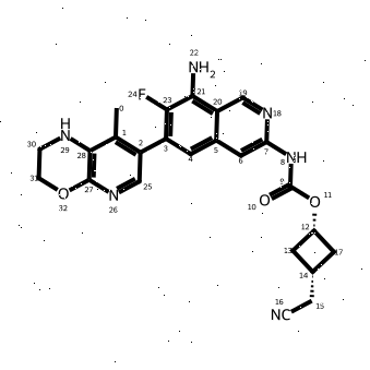 Cc1c(-c2cc3cc(NC(=O)O[C@H]4C[C@@H](CC#N)C4)ncc3c(N)c2F)cnc2c1NCCO2